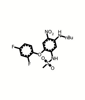 CCCCNc1cc(NS(C)(=O)=O)c(Oc2ccc(F)cc2F)cc1[N+](=O)[O-]